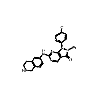 CC(C)n1c(=O)c2cnc(Nc3ccc4c(c3)CCNC4)nc2n1-c1ccc(Cl)cn1